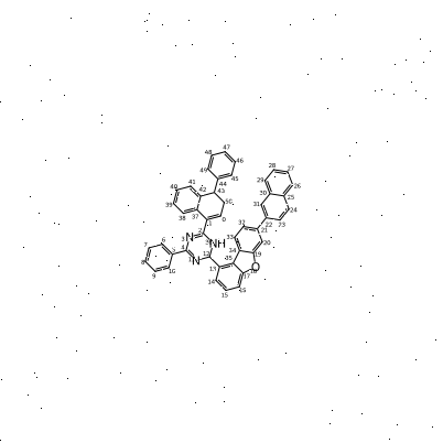 C1=C(C2=NC(c3ccccc3)=NC(c3cccc4oc5cc(-c6ccc7ccccc7c6)ccc5c34)N2)c2ccccc2C(c2ccccc2)C1